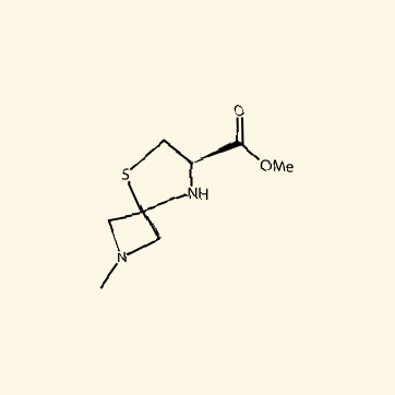 COC(=O)[C@@H]1CSC2(CN(C)C2)N1